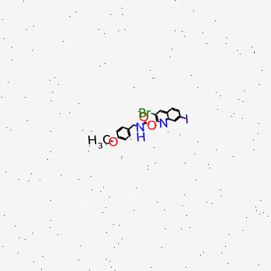 COc1ccc(CNC(=O)Oc2nc3cc(I)ccc3cc2Br)cc1